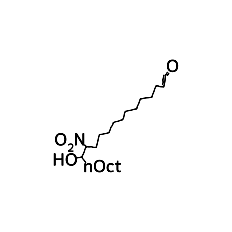 CCCCCCCCC(O)C(CCCCCCCCCCC=C=O)[N+](=O)[O-]